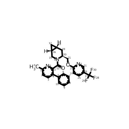 Cc1ccc(-c2ccccc2)c(C(=O)N2C[C@@H]3C[C@@H]3C[C@H]2COc2ccc(C(F)(F)F)cn2)n1